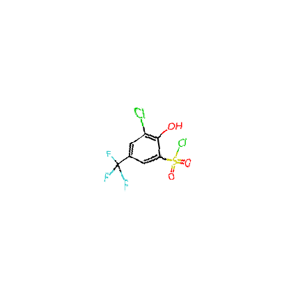 O=S(=O)(Cl)c1cc(C(F)(F)F)cc(Cl)c1O